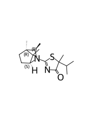 CC(C)C1(C)SC(N2[C@H]3CC[C@@](C)([C@H]2C)C3(C)C)=NC1=O